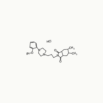 CC(C)Oc1ccccc1N1CCN(CCCN2C(=O)C3CC(C)C(C)CC3C2=O)CC1.Cl